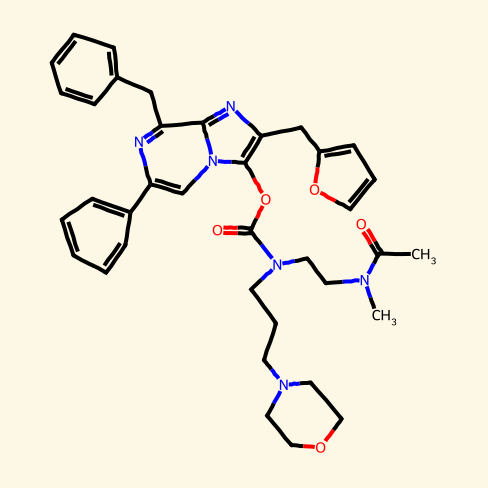 CC(=O)N(C)CCN(CCCN1CCOCC1)C(=O)Oc1c(Cc2ccco2)nc2c(Cc3ccccc3)nc(-c3ccccc3)cn12